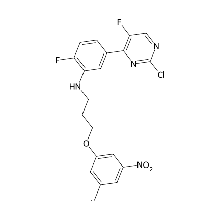 [CH2]c1cc(OCCCNc2cc(-c3nc(Cl)ncc3F)ccc2F)cc([N+](=O)[O-])c1